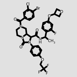 CC(NC(=O)C1C2CN(C(=O)c3ccc(Br)c(Cl)c3)CCN2C(=O)N1c1ccc(OCC(F)(F)F)cc1)c1ccc(OC2COC2)cc1F